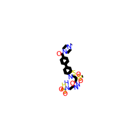 CN1CCN(C(=O)c2ccc(-c3ccc4nc(C(c5nnc(CN[SH](=O)=O)o5)S(C)(=O)=O)sc4c3)cc2)CC1